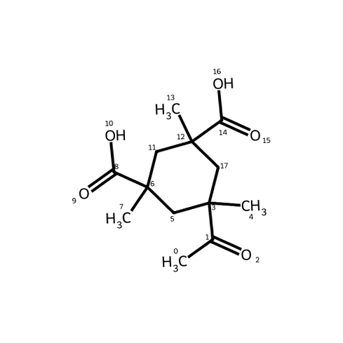 CC(=O)C1(C)CC(C)(C(=O)O)CC(C)(C(=O)O)C1